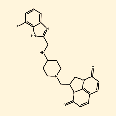 O=c1ccc2ccc(=O)n3c2n1CC3CN1CCC(NCc2nc3cccc(F)c3[nH]2)CC1